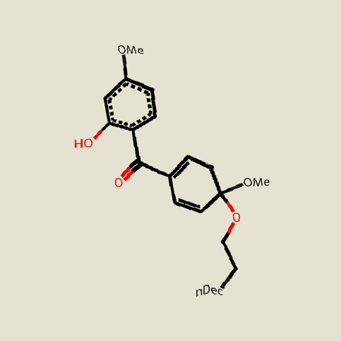 CCCCCCCCCCCCOC1(OC)C=CC(C(=O)c2ccc(OC)cc2O)=CC1